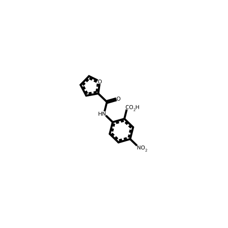 O=C(Nc1ccc([N+](=O)[O-])cc1C(=O)O)c1ccco1